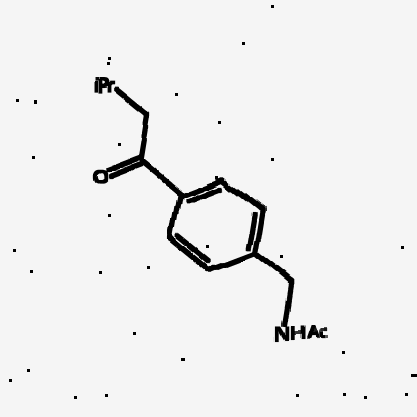 CC(=O)NCc1ccc(C(=O)CC(C)C)cc1